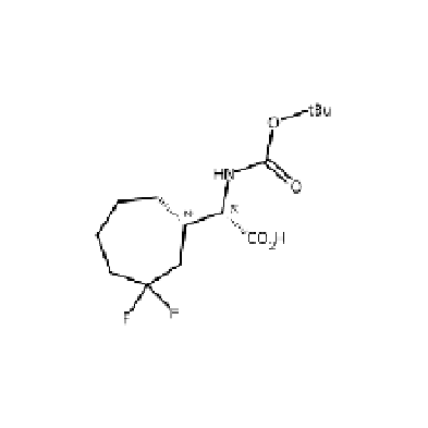 CC(C)(C)OC(=O)N[C@H](C(=O)O)[C@H]1CCCCC(F)(F)C1